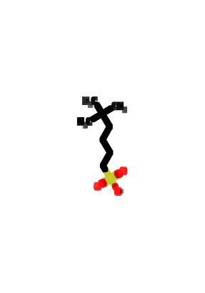 CC(C)(C)CCCCS([O])(=O)=O